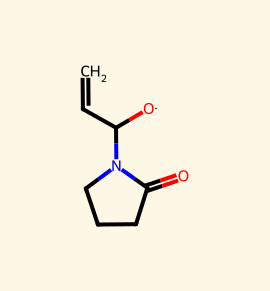 C=CC([O])N1CCCC1=O